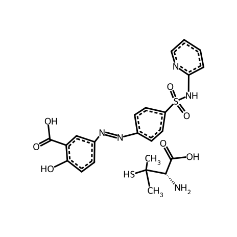 CC(C)(S)[C@@H](N)C(=O)O.O=C(O)c1cc(N=Nc2ccc(S(=O)(=O)Nc3ccccn3)cc2)ccc1O